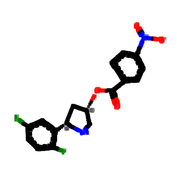 O=C(O[C@@H]1CN[C@H](c2cc(F)ccc2F)C1)c1ccc([N+](=O)[O-])cc1